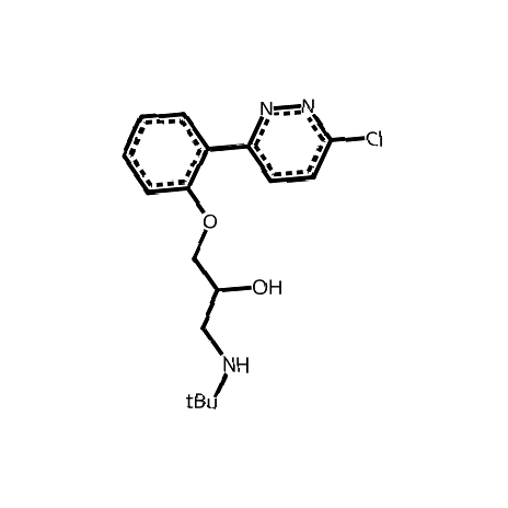 CC(C)(C)NCC(O)COc1ccccc1-c1ccc(Cl)nn1